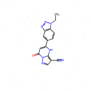 CCn1nnc2cc(-c3cc(=O)n4ncc(C#N)c4[nH]3)ccc21